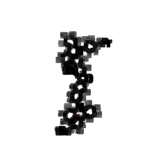 CC(C)c1ccc(N(c2ccc3cc4c(cc3c2)oc2cc3cc(N(c5ccccc5)c5ccccc5-c5ccc(C(C)(C)C)cc5)ccc3cc24)c2ccccc2-c2ccc(C(C)(C)C)cc2)cc1